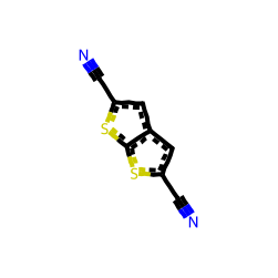 N#Cc1cc2cc(C#N)sc2s1